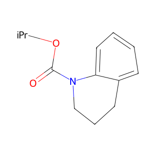 CC(C)OC(=O)N1CCCc2ccccc21